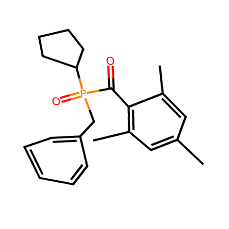 Cc1cc(C)c(C(=O)P(=O)(Cc2ccccc2)C2CCCC2)c(C)c1